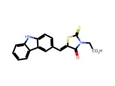 O=C(O)CN1C(=O)/C(=C/c2ccc3[nH]c4ccccc4c3c2)SC1=S